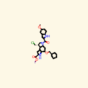 COc1ccc2[nH]c(C(=O)N3C[C@@H](CCl)c4c3cc(OCc3ccccc3)c3[nH]c(C(=O)OI)cc43)cc2c1